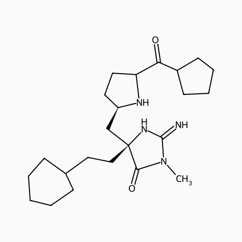 CN1C(=N)N[C@@](CCC2CCCCC2)(C[C@H]2CCC(C(=O)C3CCCC3)N2)C1=O